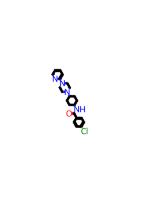 O=C(NC1CCC(N2CCN(c3ccccn3)CC2)CC1)c1ccc(Cl)cc1